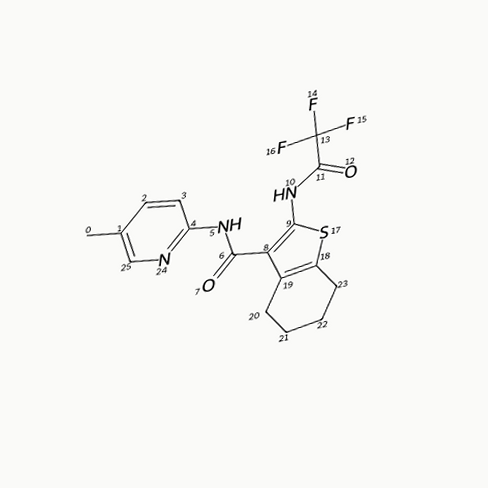 Cc1ccc(NC(=O)c2c(NC(=O)C(F)(F)F)sc3c2CCCC3)nc1